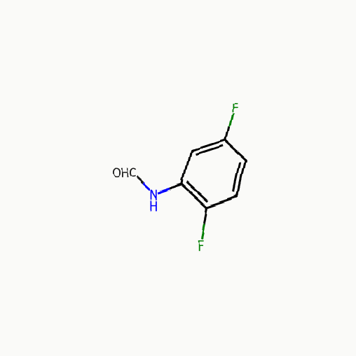 O=CNc1cc(F)ccc1F